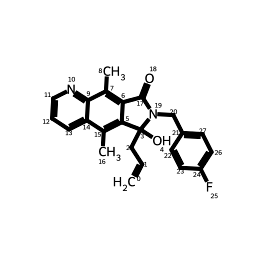 C=CCC1(O)c2c(c(C)c3ncccc3c2C)C(=O)N1Cc1ccc(F)cc1